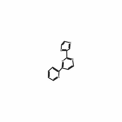 c1ccc(-c2ccnc(-c3cnccn3)n2)nc1